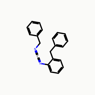 C(=NCc1ccccc1)=Nc1ccccc1Cc1ccccc1